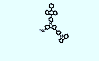 CCC(C)c1ccc2c(c1)c1cc(-c3ccc(-n4c5ccccc5c5ccccc54)cc3)ccc1n2-c1ccc(-c2c3ccccc3c(-c3ccccc3)c3ccccc23)cc1